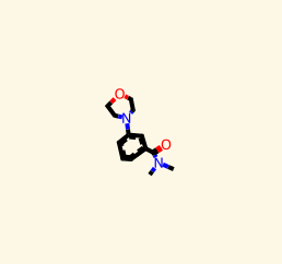 CN(C)C(=O)c1cccc(N2CCOCC2)c1